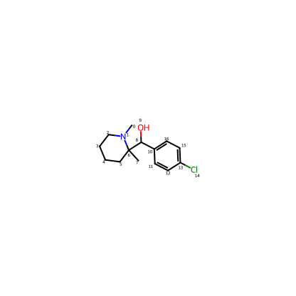 CN1CCCCC1(C)C(O)c1ccc(Cl)cc1